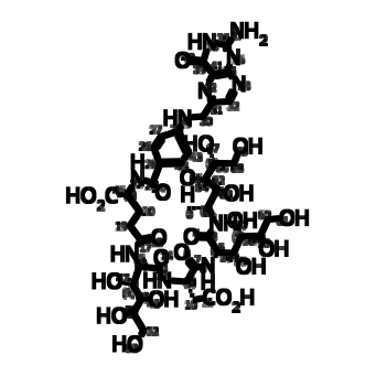 C[C@@H](NC(=O)[C@@H](NC(=O)[C@H](CC(=O)O)NC(=O)[C@@H](NC(=O)CC[C@H](NC(=O)c1ccc(NCc2cnc3nc(N)[nH]c(=O)c3n2)cc1)C(=O)O)[C@@H](O)[C@H](O)[C@H](O)CO)[C@@H](O)[C@H](O)[C@H](O)CO)[C@@H](O)[C@H](O)[C@H](O)CO